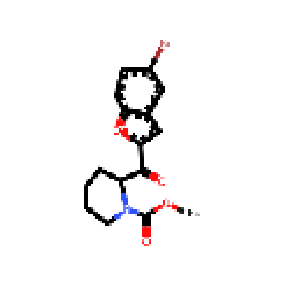 CC(C)(C)OC(=O)N1CCCCC1C(=O)c1cc2cc(Br)ccc2o1